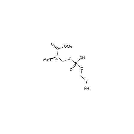 CN[C@H](COP(=O)(O)OCCN)C(=O)OC